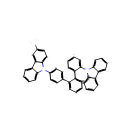 N#Cc1ccc2c(c1)c1ccccc1n2-c1ccc(-c2cccc(C#N)c2-c2ccccc2-n2c3ccccc3c3ccccc32)cc1